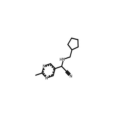 Cc1ncc(C(C#N)NCC2CCCC2)cn1